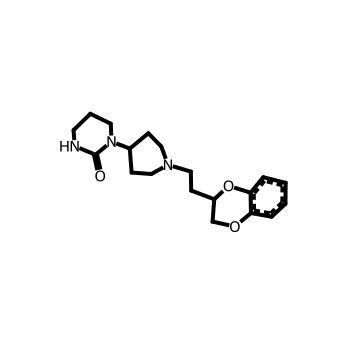 O=C1NCCCN1C1CCN(CCC2COc3ccccc3O2)CC1